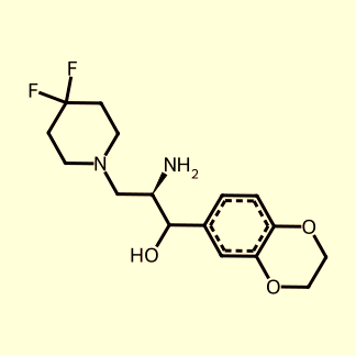 N[C@H](CN1CCC(F)(F)CC1)C(O)c1ccc2c(c1)OCCO2